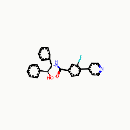 O=C(N[C@@H](c1ccccc1)[C@@H](O)c1ccccc1)c1ccc(-c2ccncc2)c(F)c1